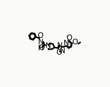 CCOc1ccc(-c2noc(C3CCN(C(=O)CNC(=O)c4ccccc4)CC3)n2)nc1OC